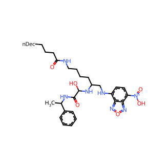 CCCCCCCCCCCCCC(=O)NCCCCC(CNc1ccc([N+](=O)O)c2nonc12)NC(O)C(=O)NC(C)c1ccccc1